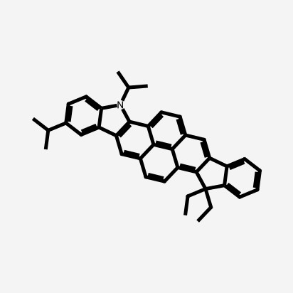 CCC1(CC)c2ccccc2-c2cc3ccc4c5c(ccc(c21)c35)cc1c2cc(C(C)C)ccc2n(C(C)C)c14